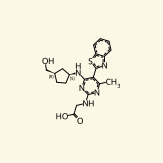 Cc1nc(NCC(=O)O)nc(N[C@H]2CC[C@@H](CO)C2)c1-c1nc2ccccc2s1